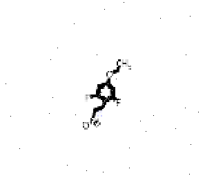 CCOc1cc(F)c(/C=C/[N+](=O)[O-])c(F)c1